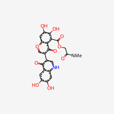 CNC(=O)COC(=O)c1c(O)c(O)cc2occ(-c3c[nH]c4cc(O)c(O)cc4c3=O)c(=O)c12